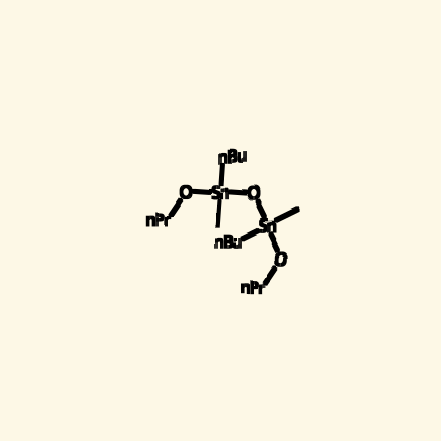 CCC[CH2][Sn]([CH3])([O]CCC)[O][Sn]([CH3])([CH2]CCC)[O]CCC